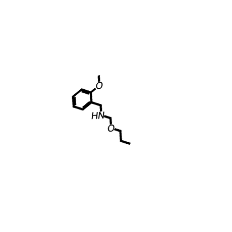 CCCOCNCc1ccccc1OC